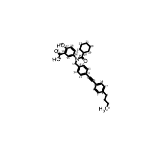 CCCCc1ccc(C#Cc2ccc(CN(C(=O)C3CCCCC3)c3ccc(O)c(C(=O)O)c3)cc2)cc1